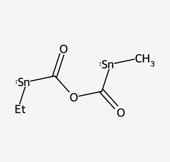 C[CH2][Sn][C](=O)O[C](=O)[Sn][CH3]